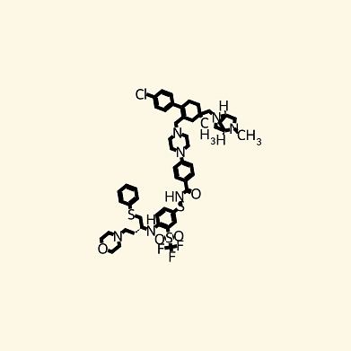 CN1C[C@H]2C[C@@H]1CN2CC1(C)CCC(c2ccc(Cl)cc2)=C(CN2CCN(c3ccc(C(=O)NSc4ccc(N[C@H](CCN5CCOCC5)CSc5ccccc5)c(S(=O)(=O)C(F)(F)F)c4)cc3)CC2)C1